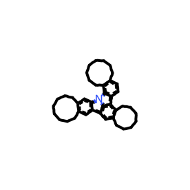 c1cc2c3c4c(cc5c6cc7c(cc6n(c2c2c1CCCCCCCC2)c53)CCCCCCCC7)CCCCCCC4